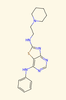 c1ccc(Nc2ncnc3nc(NCCN4CCCCC4)sc23)cc1